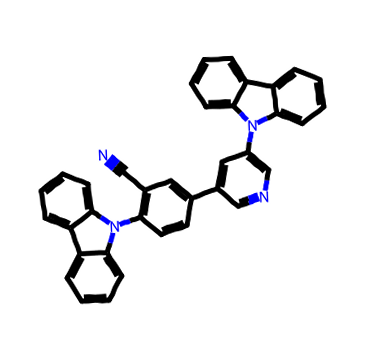 N#Cc1cc(-c2cncc(-n3c4ccccc4c4ccccc43)c2)ccc1-n1c2ccccc2c2ccccc21